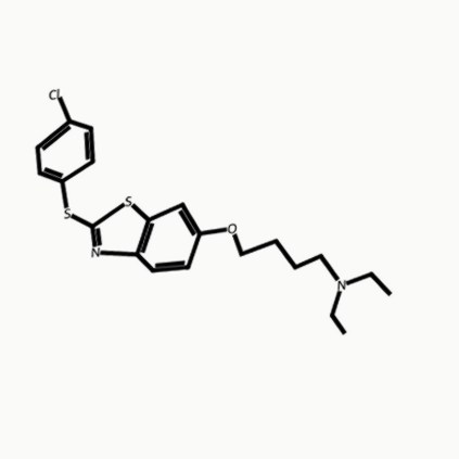 CCN(CC)CCCCOc1ccc2nc(Sc3ccc(Cl)cc3)sc2c1